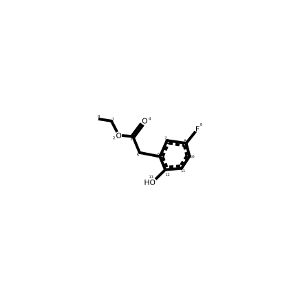 CCOC(=O)Cc1cc(F)ccc1O